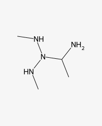 CNN(NC)C(C)N